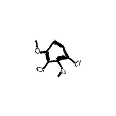 COc1[c]cc(Cl)c(OC)c1Cl